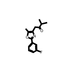 Cc1oc(-c2cccc(F)c2)nc1CC(=O)C(C)C